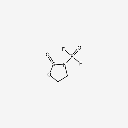 O=S1OCCN1P(=O)(F)F